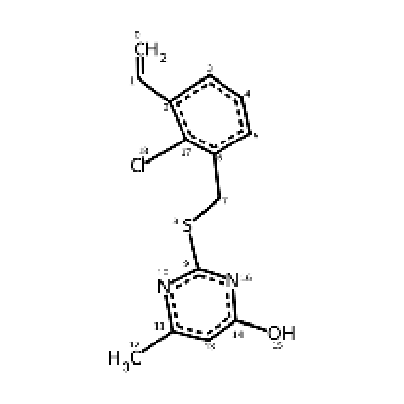 C=Cc1cccc(CSc2nc(C)cc(O)n2)c1Cl